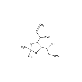 C=C[C@@H](O)C1OC(C)(C)OC1[C@H](O)COC